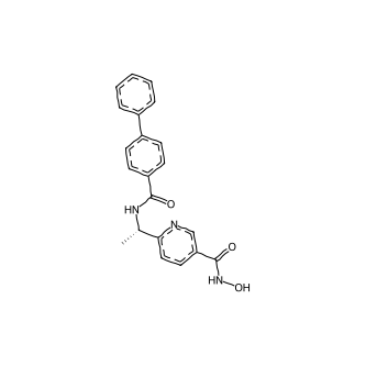 C[C@H](NC(=O)c1ccc(-c2ccccc2)cc1)c1ccc(C(=O)NO)cn1